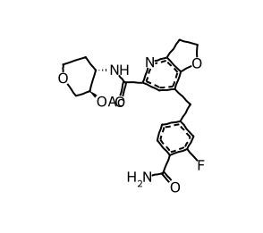 CC(=O)O[C@H]1COCC[C@@H]1NC(=O)c1cc(Cc2ccc(C(N)=O)c(F)c2)c2c(n1)CCO2